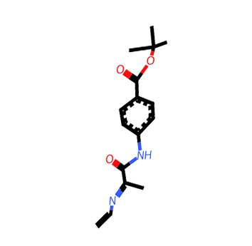 C=C/N=C(\C)C(=O)Nc1ccc(C(=O)OC(C)(C)C)cc1